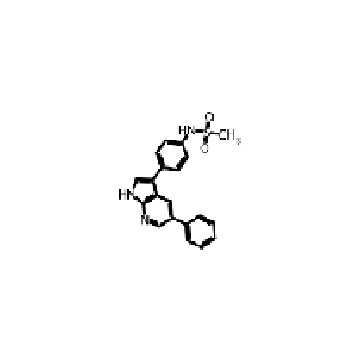 CS(=O)(=O)Nc1ccc(-c2c[nH]c3ncc(-c4ccccc4)cc23)cc1